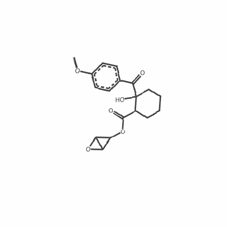 COc1ccc(C(=O)C2(O)CCCCC2C(=O)OC2C3OC23)cc1